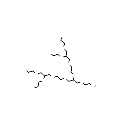 COCCOCC(CSCCOCC(CSCCO)SCCO)SCCOCC(CSCCO)SCCO